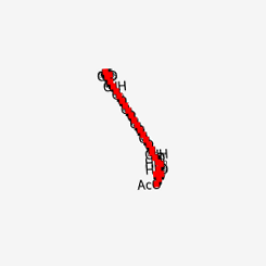 CC(=O)OCc1ccc(NC(=O)[C@H](C)NC(=O)CNC(=O)CCOCCOCCOCCOCCOCCOCCOCCOCCNC(=O)CCN2C(=O)C=CC2=O)cc1